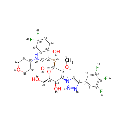 CO[C@@H]1[C@@H](n2cc(-c3cc(F)c(F)c(F)c3)nn2)[C@@H](O)[C@@H](CO)O[C@H]1SC(C(=O)NC1CCOCC1)C1(O)CCC(F)(F)CC1